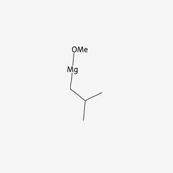 C[O][Mg][CH2]C(C)C